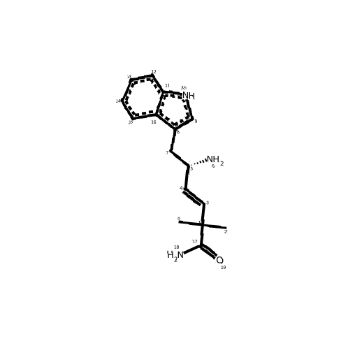 CC(C)(/C=C/[C@@H](N)Cc1c[nH]c2ccccc12)C(N)=O